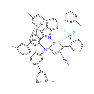 Cc1cccc(-c2ccc3c4ccc(-c5cccc(C)c5)cc4n(-c4cc(C#N)c(-c5ccccc5C(F)(F)F)cc4-n4c5cc(-c6cccc(C)c6)ccc5c5ccc(-c6cccc(C)c6)cc54)c3c2)c1